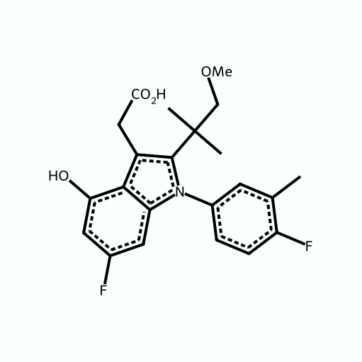 COCC(C)(C)c1c(CC(=O)O)c2c(O)cc(F)cc2n1-c1ccc(F)c(C)c1